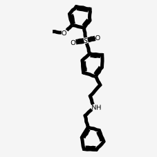 COc1ccccc1S(=O)(=O)c1ccc(CCNCc2ccccc2)cc1